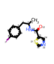 CC(Cc1ccc(I)cc1)NC(=O)c1cncs1